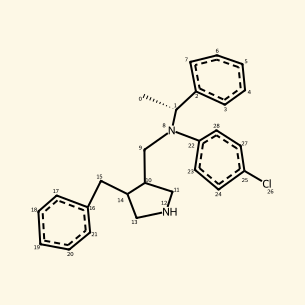 C[C@H](c1ccccc1)N(CC1CNCC1Cc1ccccc1)c1ccc(Cl)cc1